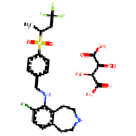 CC(CC(F)(F)F)S(=O)(=O)c1ccc(CNc2c(Cl)ccc3c2CCNCC3)cc1.O=C(O)C(O)C(O)C(=O)O